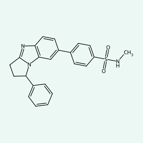 CNS(=O)(=O)c1ccc(-c2ccc3nc4n(c3c2)C(c2ccccc2)CC4)cc1